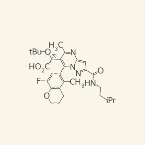 Cc1nc2cc(C(=O)NCCC(C)C)nn2c(-c2cc(F)c3c(c2C)CCCO3)c1[C@H](OC(C)(C)C)C(=O)O